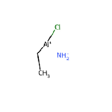 C[CH2][Al+][Cl].[NH2-]